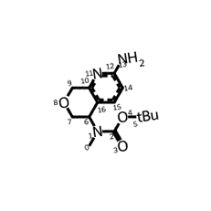 CN(C(=O)OC(C)(C)C)C1COCc2nc(N)ccc21